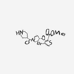 COC(=O)c1scc(Br)c1OC1CCN(C(=O)C2CCNCC2)CC1